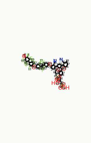 COc1c(F)c(F)c(-c2c(F)c(F)c(Oc3ccc(C(c4ccc(Oc5cccc(-c6ccc(-c7cccc(C)c7C#N)c(C(=O)c7ccc(OCCCCS(=O)(=O)O)cc7OCCCCSOOO)c6)c5C#N)cc4)(C(F)(F)F)C(F)(F)F)cc3)c(F)c2F)c(F)c1F